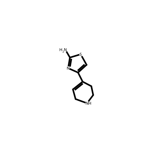 Nc1nc(C2=CCNCC2)cs1